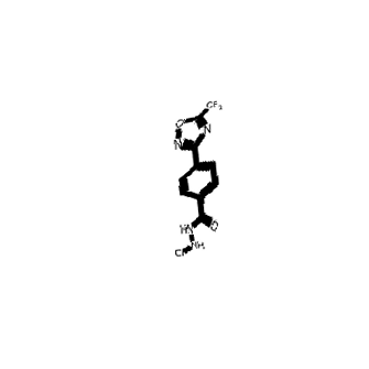 O=C(NNCl)c1ccc(-c2noc(C(F)(F)F)n2)cc1